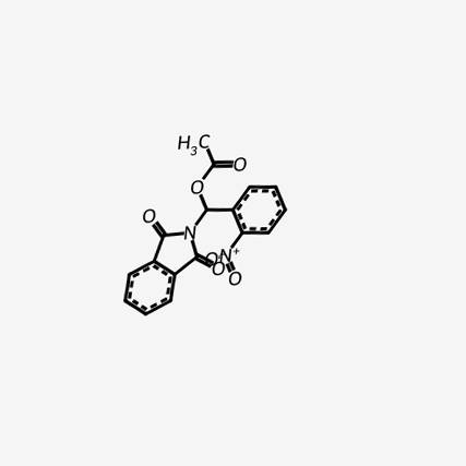 CC(=O)OC(c1ccccc1[N+](=O)[O-])N1C(=O)c2ccccc2C1=O